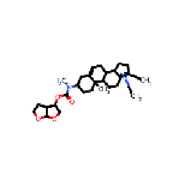 CC1C2CCC3C4CC=C5CC(N(C)C(=O)OC6COC7OCCC67)CCC5(C)C4CCC32CN1C